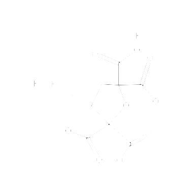 O=C([O-])C1(C(=O)[O-])CCC(C(=O)[O-])(C(=O)[O-])O1.[K+].[K+].[K+].[K+]